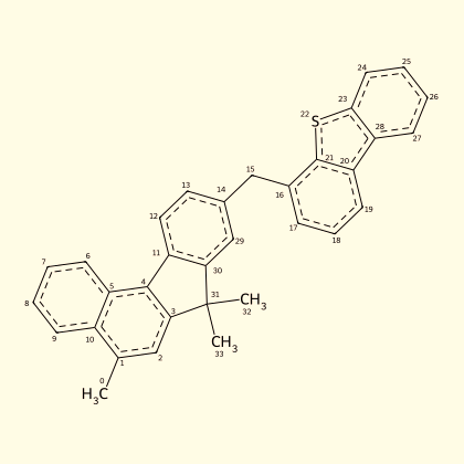 Cc1cc2c(c3ccccc13)-c1ccc(Cc3cccc4c3sc3ccccc34)cc1C2(C)C